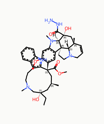 CC[C@]1(O)C[C@H](C)C[C@](C(=O)OC)(c2cc3c(cc2OC)N(C)[C@@H]2[C@]34CCN3CC=C[C@@](C)(C[C@]2(O)C(=O)NN)[C@H]34)c2[nH]c3ccccc3c2CCN(C)C1